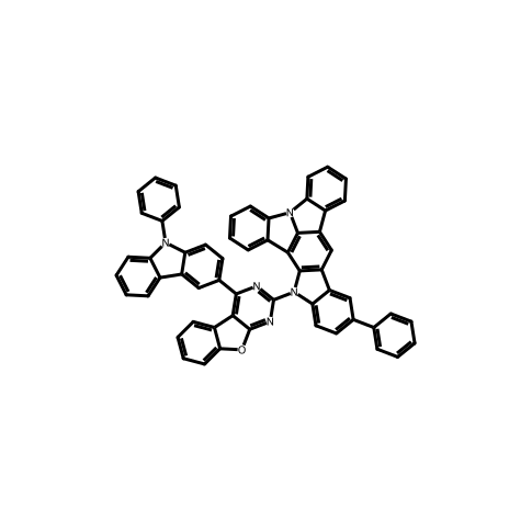 c1ccc(-c2ccc3c(c2)c2cc4c5ccccc5n5c6ccccc6c(c2n3-c2nc(-c3ccc6c(c3)c3ccccc3n6-c3ccccc3)c3c(n2)oc2ccccc23)c45)cc1